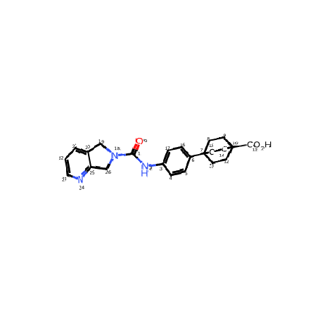 O=C(Nc1ccc(C23CCC(C(=O)O)(CC2)CC3)cc1)N1Cc2cccnc2C1